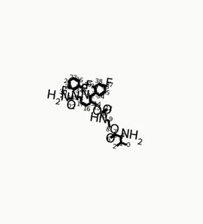 CC(C)C(N)C(=O)OCCNC(=O)OCc1ccc(N(C(N)=O)c2c(F)cccc2F)nc1-c1ccc(F)cc1F